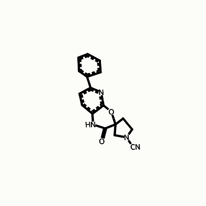 N#CN1CCC2(C1)Oc1nc(-c3ccccc3)ccc1NC2=O